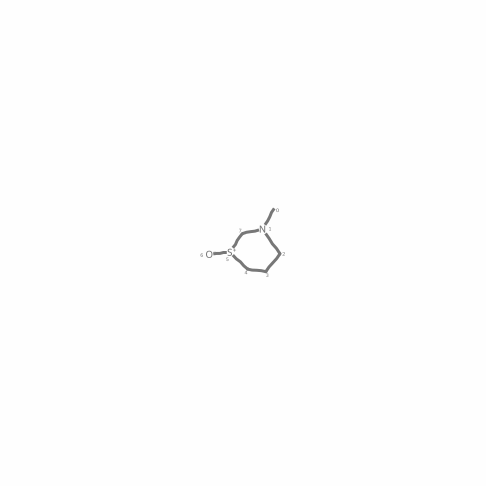 CN1CCC[S+]([O-])C1